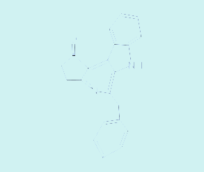 O=C1CCc2nc(Cc3ccccc3)c3[nH]c4ccccc4c3c21